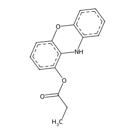 CCC(=O)Oc1cccc2c1Nc1ccccc1O2